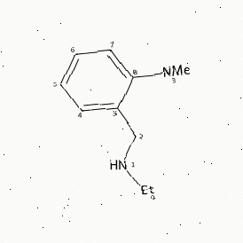 CCNCc1ccccc1NC